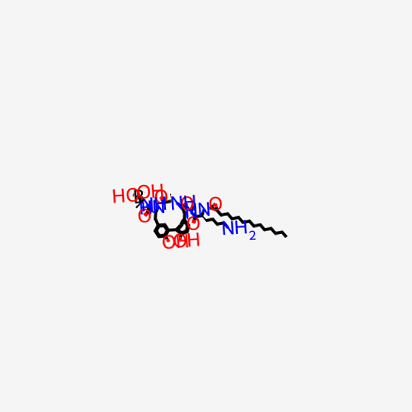 CCCCCCCCCCCCCC1OC1N[C@@H](CCCCN)C(=O)N(C)[C@@H]1C(=O)N[C@@H](C)C(=O)N[C@H](C(=O)N[C@@H](C)B(O)O)Cc2ccc(O)c(c2)-c2cc1ccc2O